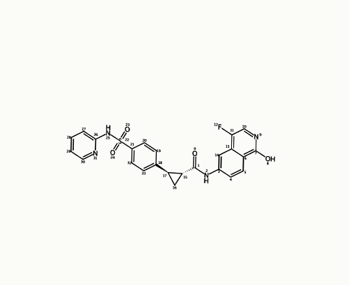 O=C(Nc1ccc2c(O)ncc(F)c2c1)[C@@H]1C[C@H]1c1ccc(S(=O)(=O)Nc2ccccn2)cc1